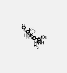 CN1CCN(Cc2cc(NC(=O)Nc3ccc(-c4cc(C(C)(C)C)nc5[nH]nc(N)c45)cc3)cc(C(F)(F)F)c2)CC1